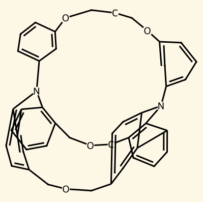 c1cc2cc(c1)-n1c3ccc4cc3c3cccc(c31)COCc1cccc3c5cc(ccc5n(c13)-c1cccc(c1)OCCCO2)COC4